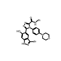 CC(C)NC(=O)c1nnc(-c2cc3c(C(C)C)n[nH]c3cc2O)n1-c1ccc(N2CCOCC2)cc1